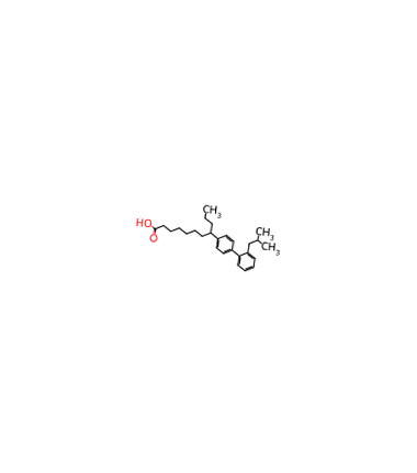 CCCC(CCCCCCC(=O)O)c1ccc(-c2ccccc2CC(C)C)cc1